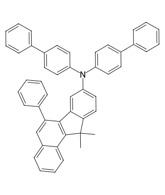 CC1(C)c2ccc(N(c3ccc(-c4ccccc4)cc3)c3ccc(-c4ccccc4)cc3)cc2-c2c(-c3ccccc3)cc3ccccc3c21